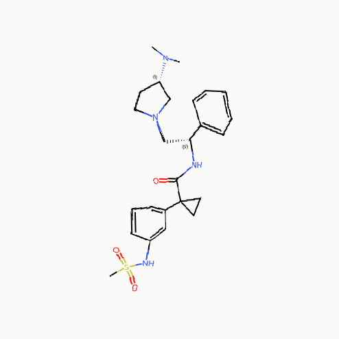 CN(C)[C@H]1CCN(C[C@@H](NC(=O)C2(c3cccc(NS(C)(=O)=O)c3)CC2)c2ccccc2)C1